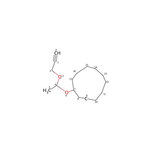 C#CCOC(C)OC1CCCCCCCCCC1